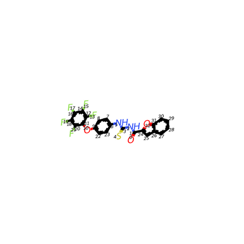 O=C(NC(=S)Nc1ccc(Oc2c(F)c(F)c(F)c(F)c2F)cc1)c1cc2ccccc2o1